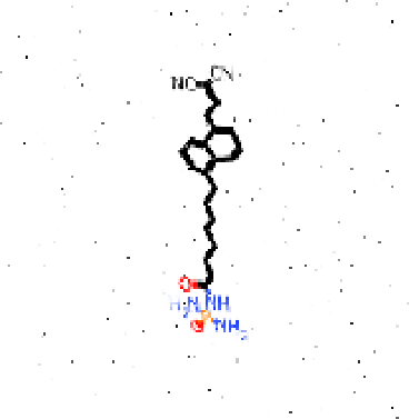 N#CC(C#N)=CCc1cccc2c(CCCCCCCC(=O)NP(N)(N)=O)cccc12